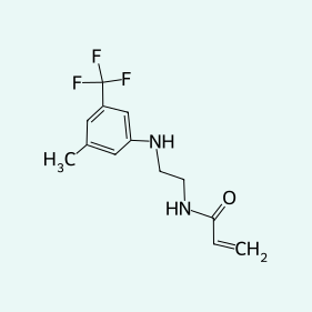 C=CC(=O)NCCNc1cc(C)cc(C(F)(F)F)c1